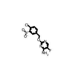 Nc1nc(OCc2ccc(Cl)c([N+](=O)[O-])c2)ncc1F